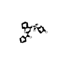 O=C(c1ccccc1)c1cc(=NS(=O)(=O)c2ccc(Cl)cc2)c2ccccc2o1